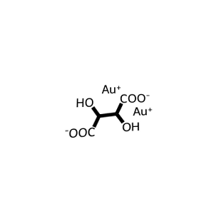 O=C([O-])C(O)C(O)C(=O)[O-].[Au+].[Au+]